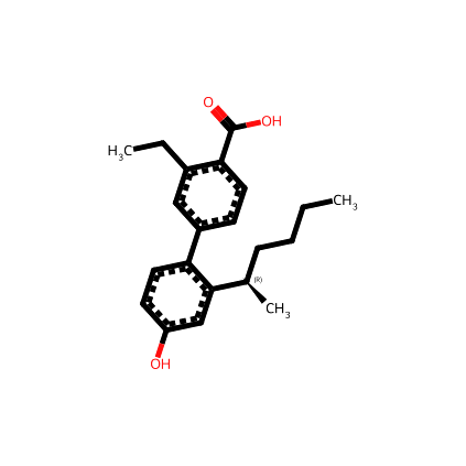 CCCC[C@@H](C)c1cc(O)ccc1-c1ccc(C(=O)O)c(CC)c1